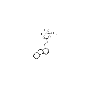 CC(C)(C)OC(=O)CCc1cccc2c1Cc1ccccc1-2